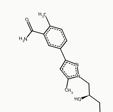 COC[C@@H](O)Cn1nc(-c2ccc(C)c(C(N)=O)c2)cc1C